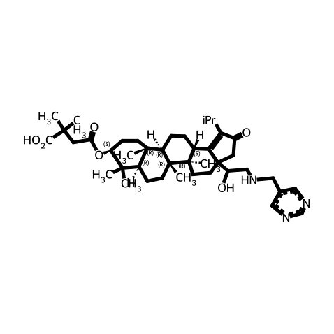 CC(C)C1=C2[C@H]3CC[C@@H]4[C@@]5(C)CC[C@H](OC(=O)CC(C)(C)C(=O)O)C(C)(C)[C@@H]5CC[C@@]4(C)[C@]3(C)CCC2(C(O)CNCc2cncnc2)CC1=O